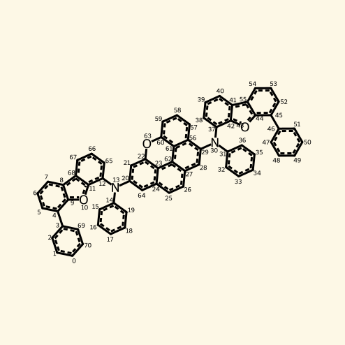 c1ccc(-c2cccc3c2oc2c(N(c4ccccc4)c4cc5c6c(ccc7cc(N(c8ccccc8)c8cccc9c8oc8c(-c%10ccccc%10)cccc89)c8cccc(c8c76)O5)c4)cccc23)cc1